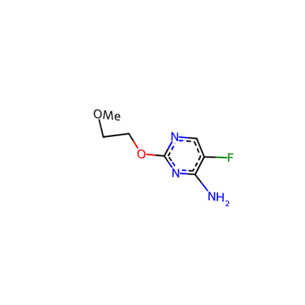 COCCOc1ncc(F)c(N)n1